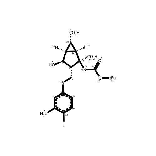 Cc1cc(SC[C@@H]2[C@@H](O)[C@H]3[C@H](C(=O)O)[C@H]3[C@]2(NC(=O)OC(C)(C)C)C(=O)O)ccc1F